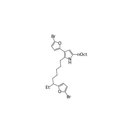 CCCCCCCCc1cc(-c2ccc(Br)o2)c(CCCCCC(CC)c2ccc(Br)o2)[nH]1